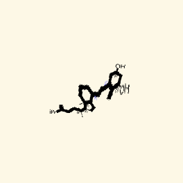 C=C1/C(=C\C=C2/CCC[C@@]3(C)C2CC[C@@H]3[C@H](C)CCC(C)C(C)C)C[C@@H](O)C[C@@H]1O